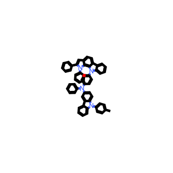 Cc1ccc(-n2c3ccccc3c3cc(N(c4ccccc4)c4ccc(-n5c6ccccc6c6ccc7cc(-c8ccccc8)n(-c8ccccc8)c7c65)cc4)ccc32)cc1